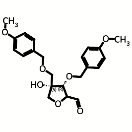 COc1ccc(COC[C@]2(O)COC(C=O)[C@H]2OCc2ccc(OC)cc2)cc1